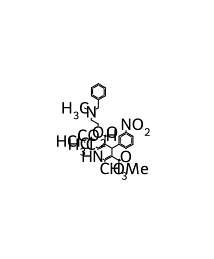 COC(=O)C1=C(C)NC(C)=C(C(=O)OCCN(C)Cc2ccccc2)C1c1cccc([N+](=O)[O-])c1.Cl.O=C(O)Cl